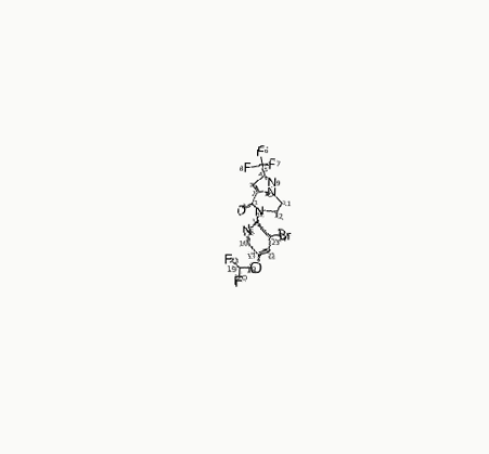 O=C1c2cc(C(F)(F)F)nn2CCN1c1ncc(OC(F)F)cc1Br